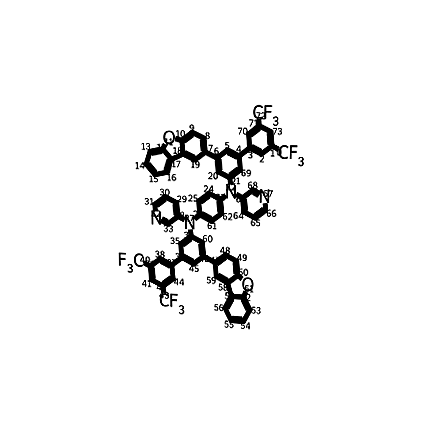 FC(F)(F)c1cc(-c2cc(-c3ccc4oc5ccccc5c4c3)cc(N(c3ccc(N(c4cccnc4)c4cc(-c5cc(C(F)(F)F)cc(C(F)(F)F)c5)cc(-c5ccc6oc7ccccc7c6c5)c4)cc3)c3cccnc3)c2)cc(C(F)(F)F)c1